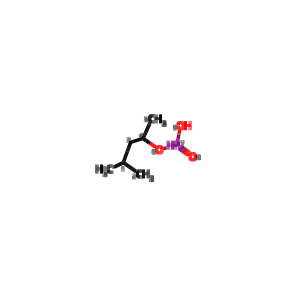 CC(C)CC(C)O[PH](=O)O